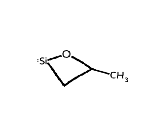 CC1C[Si]O1